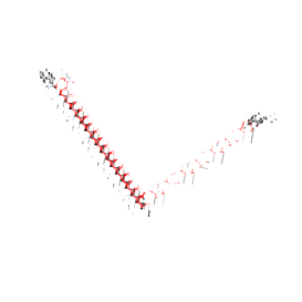 CC[O-].CC[O-].CC[O-].CC[O-].CC[O-].CC[O-].CC[O-].CC[O-].CC[O-].CC[O-].CC[O-].CC[O-].CC[O-].CC[O-].CC[O-].CC[O-].CC[O-].CC[O-].CC[O-].CC[O-].CC[O-].CC[O-].CC[O-].CC[O-].[W+4].[W+4].[W+4].[W+4].[W+4].[W+4]